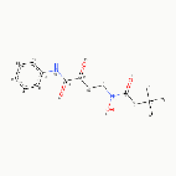 CC(C)(C)CC(=O)N(O)CCC(=O)C(=O)Nc1ccccc1